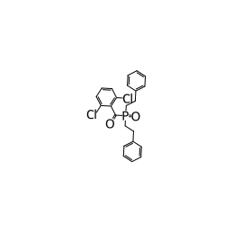 O=C(c1c(Cl)cccc1Cl)P(=O)(CCc1ccccc1)CCc1ccccc1